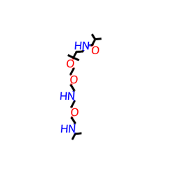 CC(C)NCCOCCNCCOCCOC(C)(C)CCNC(=O)C(C)C